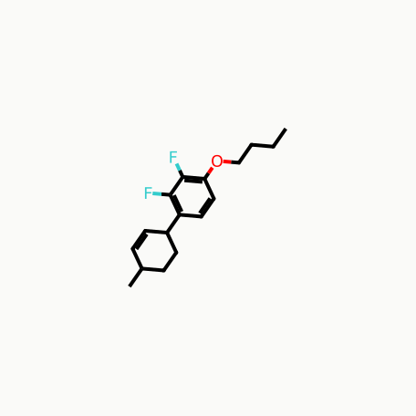 CCCCOc1ccc(C2C=CC(C)CC2)c(F)c1F